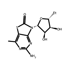 CC[C@H]1O[C@@H](n2c(=O)sc3c(C)nc(N)nc32)[C@H](O)[C@@H]1O